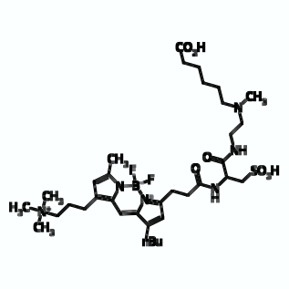 CCCCC1=CC(CCC(=O)NC(CS(=O)(=O)O)C(=O)NCCN(C)CCCCCC(=O)O)=[N+]2C1=Cc1c(CCC[N+](C)(C)C)cc(C)n1[B-]2(F)F